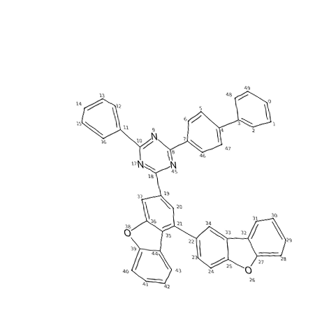 c1ccc(-c2ccc(-c3nc(-c4ccccc4)nc(-c4cc(-c5ccc6oc7ccccc7c6c5)c5c(c4)oc4ccccc45)n3)cc2)cc1